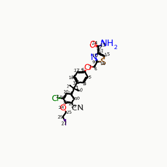 CC(C)(c1ccc(OCc2nc(C(N)=O)cs2)cc1)c1cc(Cl)c(OCCI)c(C#N)c1